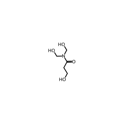 O=C(CCO)N(CO)CO